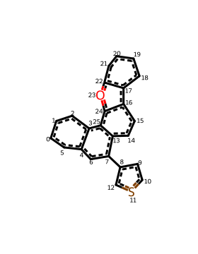 c1ccc2c(c1)cc(-c1ccsc1)c1ccc3c4ccccc4oc3c12